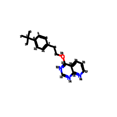 CC(C)(C)c1ccc(CCOc2ncnc3ncccc23)cc1